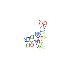 CCOC(=O)C1(C)CCC(n2ncc(C(=O)N(CC(=O)c3c(Cl)cncc3Cl)CC(C)(C)C(F)(F)F)c2C(F)(F)F)CC1